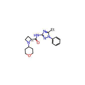 CCc1nc(NC(=O)[C@@H]2CCN2C2CCOCC2)nn1-c1ccccc1